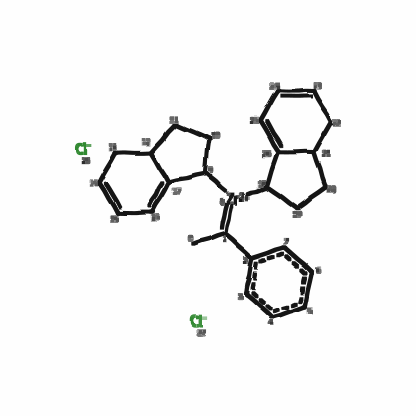 C[C](c1ccccc1)=[Zr+2]([CH]1CCC2CC=CC=C21)[CH]1CCC2CC=CC=C21.[Cl-].[Cl-]